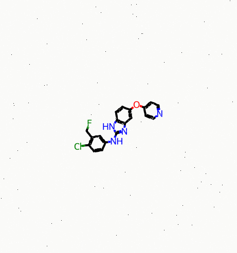 FCc1cc(Nc2nc3cc(Oc4ccncc4)ccc3[nH]2)ccc1Cl